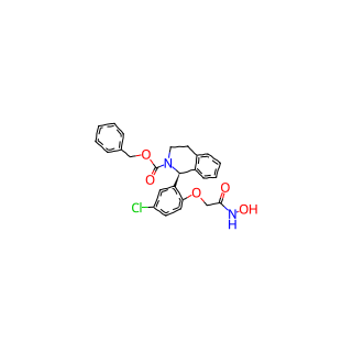 O=C(COc1ccc(Cl)cc1[C@@H]1c2ccccc2CCN1C(=O)OCc1ccccc1)NO